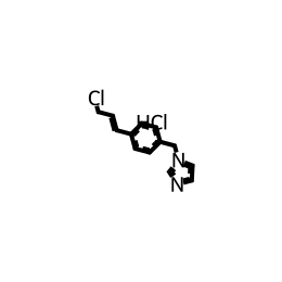 Cl.ClCC=Cc1ccc(Cn2ccnc2)cc1